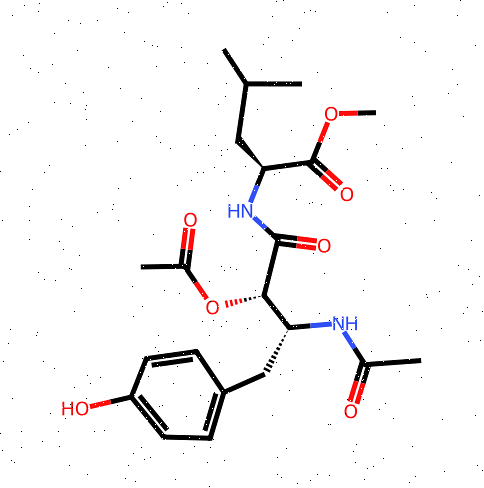 COC(=O)[C@H](CC(C)C)NC(=O)[C@@H](OC(C)=O)[C@@H](Cc1ccc(O)cc1)NC(C)=O